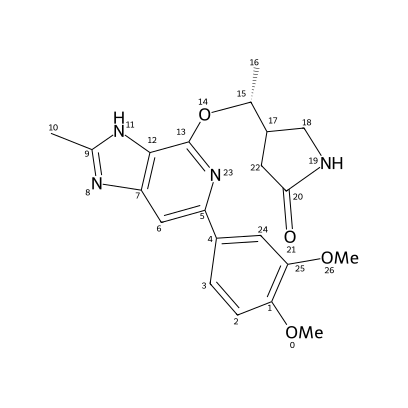 COc1ccc(-c2cc3nc(C)[nH]c3c(O[C@H](C)C3CNC(=O)C3)n2)cc1OC